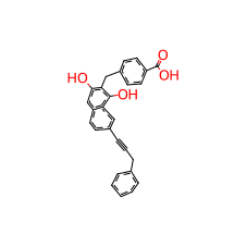 O=C(O)c1ccc(Cc2c(O)cc3ccc(C#CCc4ccccc4)cc3c2O)cc1